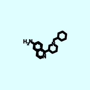 Nc1ccc2c(C3CCCN(CC4CCCCC4)C3)nccc2c1